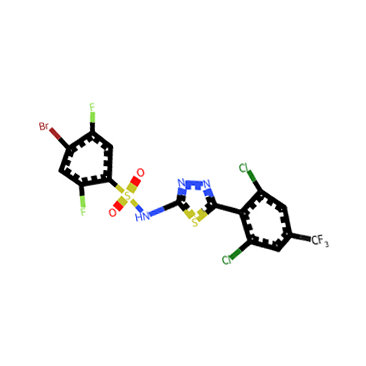 O=S(=O)(Nc1nnc(-c2c(Cl)cc(C(F)(F)F)cc2Cl)s1)c1cc(F)c(Br)cc1F